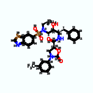 CC[C@H](C)CN(C[C@@H](O)[C@H](Cc1ccccc1)NC(=O)[C@@H]1CN(c2cccc(C(F)(F)F)c2)C(=O)O1)S(=O)(=O)c1ccc2ncsc2c1